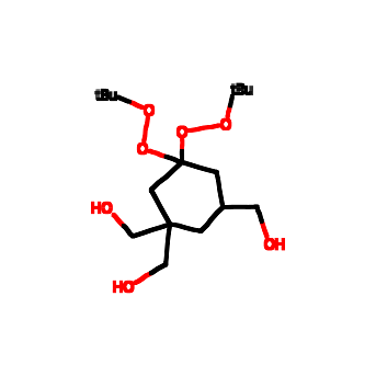 CC(C)(C)OOC1(OOC(C)(C)C)CC(CO)CC(CO)(CO)C1